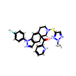 Cn1ncc(SN2CCC3=Cc4c(cnn4-c4ccc(F)cc4)CC3(C(=O)c3ccccn3)C2)n1